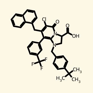 CC(C)(C)c1ccc(CN2CC(C(=O)O)n3c2c(-c2cccc(C(F)(F)F)c2)c(Cc2cccc4ccccc24)c(Cl)c3=O)cc1